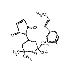 CC1(C)CC(N2C(=O)C=CC2=O)CC(C)(C)N1.CC=Cc1ccccc1